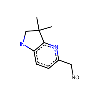 CC1(C)CNc2ccc(CN=O)nc21